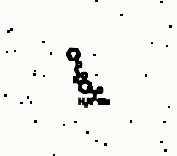 CC(C)(C)[C@H](N)C(=O)N1CCc2nc(COc3ccccc3)oc2C1